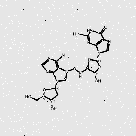 Nc1nc2c(ncn2[C@H]2C[C@H](O)N(NON3CN([C@H]4C[C@H](O)[C@@H](CO)O4)c4ncnc(N)c43)O2)c(=O)[nH]1